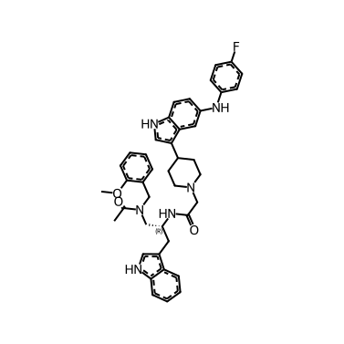 COc1ccccc1CN(C[C@@H](Cc1c[nH]c2ccccc12)NC(=O)CN1CCC(c2c[nH]c3ccc(Nc4ccc(F)cc4)cc23)CC1)C(C)=O